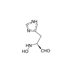 O=[C][C@H](Cc1c[nH]cn1)NO